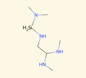 CNC(CN[SiH2]N(C)C)NC